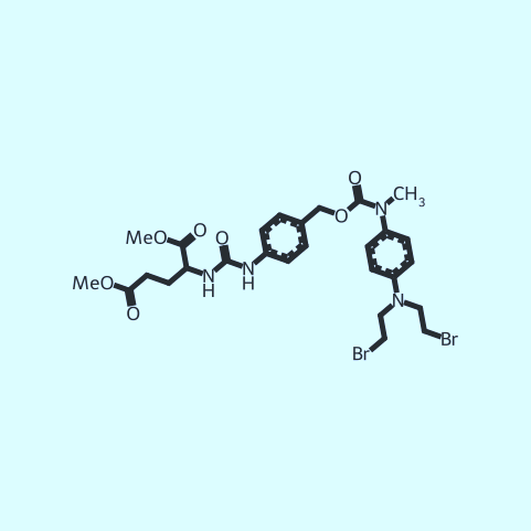 COC(=O)CCC(NC(=O)Nc1ccc(COC(=O)N(C)c2ccc(N(CCBr)CCBr)cc2)cc1)C(=O)OC